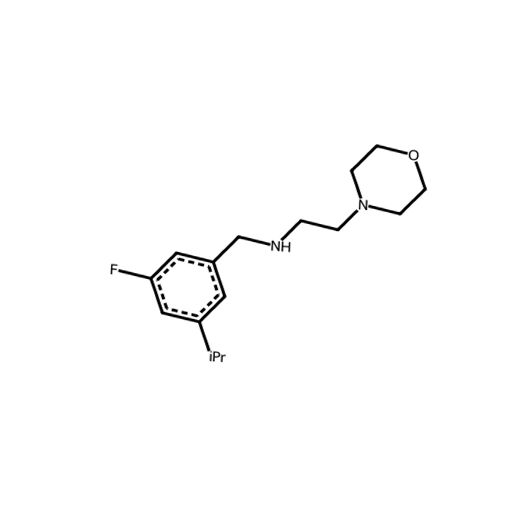 CC(C)c1cc(F)cc(CNCCN2CCOCC2)c1